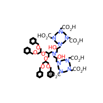 O=C(O)CN1CCN(CC(=O)O)CCN(CC(O)CN(CC(O)CN2CCN(CC(=O)O)CCN(CC(=O)O)CCN(C(=O)O)CC2)CC(COC(COCc2ccccc2)COCc2ccccc2)COC(COCc2ccccc2)COCc2ccccc2)CCN(CC(=O)O)CC1